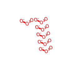 O=[O+][O-].O=[O+][O-].O=[O+][O-].O=[O+][O-].O=[O+][O-].O=[O+][O-]